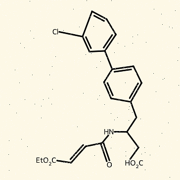 CCOC(=O)C=CC(=O)NC(CC(=O)O)Cc1ccc(-c2cccc(Cl)c2)cc1